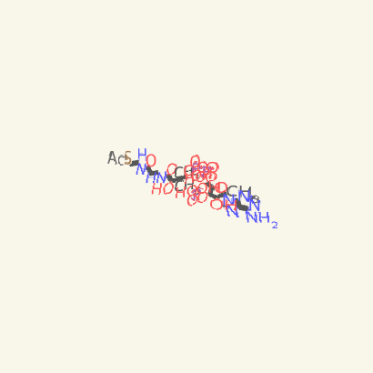 CC(=O)SCCNC(=O)CCNC(=O)C(O)C(C)(C)COP(=O)(O)OP(=O)(O)OCC1OC(C)(n2cnc3c(N)ncnc32)C(O)C1OP(=O)(O)O